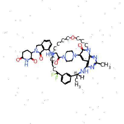 Cc1nc2c3cc(N4CCN(C(=O)CNc5cccc6c5C(=O)N(C5CCC(=O)NC5=O)C6)CC4)c(=O)n(c3n1)CCCOCCCCN1CC(C1)CC(F)(F)c1cccc(c1)[C@@H](C)N2